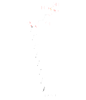 CCCCCCCCC=CCCCCCCCCCCCCCC(=O)OCC(O)COP(=O)(O)O